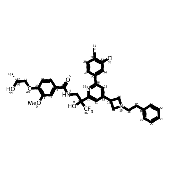 COc1cc(C(=O)NCC(O)(c2cc(C3CN(CCc4ccccc4)C3)cc(-c3ccc(F)c(Cl)c3)n2)C(F)(F)F)ccc1OC[C@@H](C)O